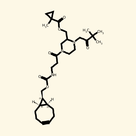 CC(C)(C)C(=O)CN1CCN(C(=O)CCNC(=O)OC[C@@H]2[C@@H]3CCC#CCC[C@@H]32)CC1COC(=O)C1(C)CC1